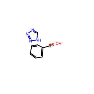 [B+2]c1ccccc1.[OH-].[OH-].c1nnn[nH]1